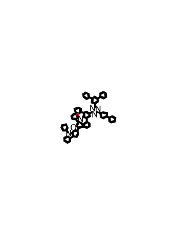 c1ccc(-c2ccc(-c3nc(-c4cc(-c5ccccc5)cc(-c5ccccc5)c4)nc(-c4cc(-c5ccccc5)c(-n5c6ccccc6c6c7oc8c(ccc9c%10ccccc%10n(-c%10ccccc%10)c98)c7ccc65)c(-c5ccccc5)c4)n3)cc2)cc1